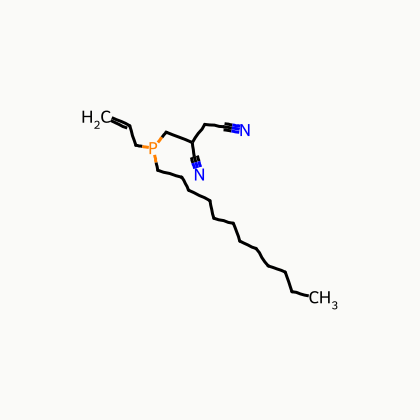 C=CCP(CCCCCCCCCCCC)CC(C#N)CC#N